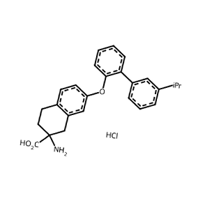 CC(C)c1cccc(-c2ccccc2Oc2ccc3c(c2)CC(N)(C(=O)O)CC3)c1.Cl